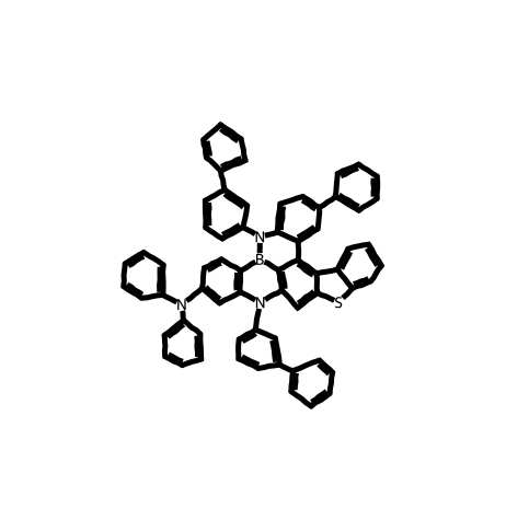 c1ccc(-c2cccc(N3B4c5ccc(N(c6ccccc6)c6ccccc6)cc5N(c5cccc(-c6ccccc6)c5)c5cc6sc7ccccc7c6c(c54)-c4cc(-c5ccccc5)ccc43)c2)cc1